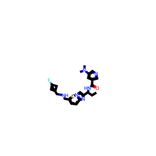 CCC(NC(=O)c1cncc(N(C)C)c1)c1cn2cc(CNCC34CC(F)(C3)C4)ccc2n1